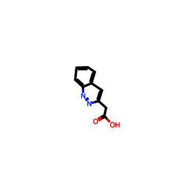 O=C(O)Cc1cc2ccccc2nn1